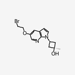 C[C@]1(O)C[C@@H](n2ccc3cc(OCCBr)cnc32)C1